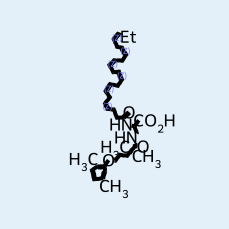 CC/C=C\C/C=C\C/C=C\C/C=C\C/C=C\C/C=C\CCC(=O)NC(CNC(=O)C(C)(C)CCCOc1cc(C)ccc1C)C(=O)O